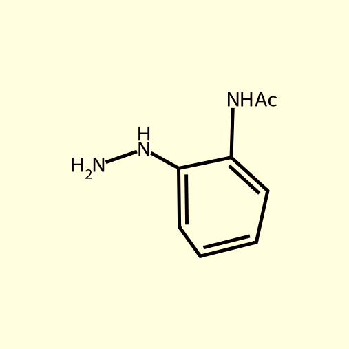 CC(=O)Nc1ccccc1NN